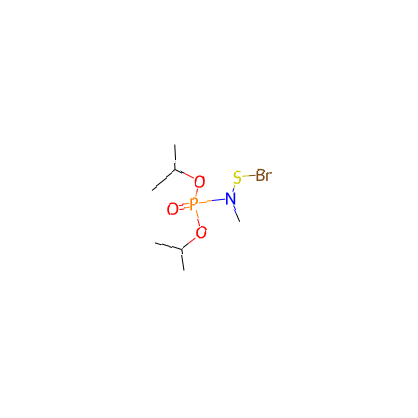 CC(C)OP(=O)(OC(C)C)N(C)SBr